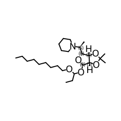 CCCCCCCCCOC(CC)O[C@H]1O[C@H]([C@H](C)N2CCCCC2)[C@@H]2OC(C)(C)O[C@H]12